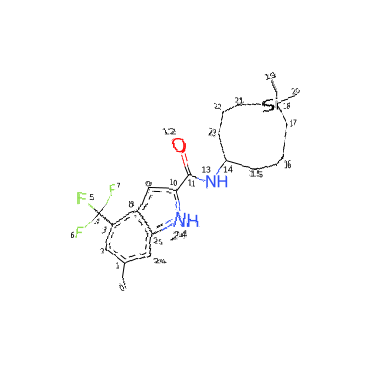 Cc1cc(C(F)(F)F)c2cc(C(=O)NC3CCC[Si](C)(C)CCC3)[nH]c2c1